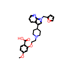 COc1ccc(C(=O)O)c(OCCN2CCC(c3cn(Cc4ccco4)c4ncccc34)CC2)c1